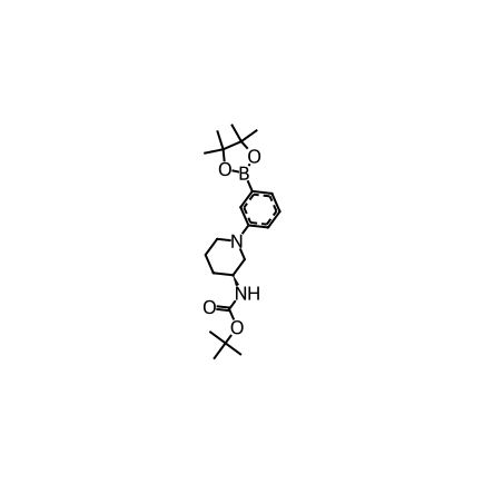 CC(C)(C)OC(=O)N[C@H]1CCCN(c2cccc(B3OC(C)(C)C(C)(C)O3)c2)C1